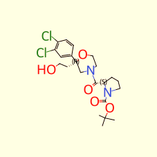 CC(C)(C)OC(=O)N1CCC[C@H]1C(=O)N1CCO[C@](CCO)(c2ccc(Cl)c(Cl)c2)C1